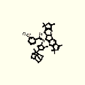 CC/[C](c1ccccc1)=[Zr+2](/[C]1=CC(C2(C)C3CC4CC(C3)CC2C4)=CC1C)[CH]1c2cc3c(cc2-c2cc4c(cc21)C(C)(C)C=C4C)C(C)=CC3(C)C.[Cl-].[Cl-]